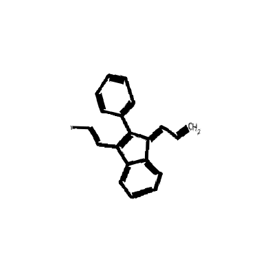 C=C/C=C1C(c2ccccc2)=C(/C=C/I)c2ccccc2/1